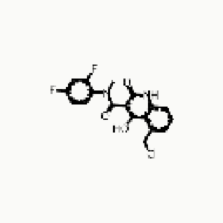 CN(C(=O)c1c(O)c2c(CCl)cccc2[nH]c1=O)c1ccc(F)cc1F